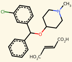 CN1CCC(OC(c2ccccc2)c2cccc(Cl)c2)CC1.O=C(O)/C=C/C(=O)O